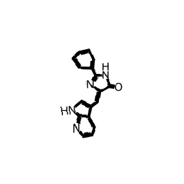 O=C1NC(c2ccccc2)=N/C1=C\c1c[nH]c2ncccc12